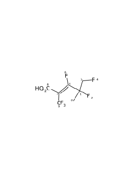 CC(F)(CF)C(F)=C(C(=O)O)C(F)(F)F